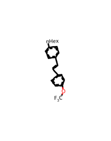 CCCCCCc1ccc(/C=C/c2ccc(OC(F)(F)F)cc2)cc1